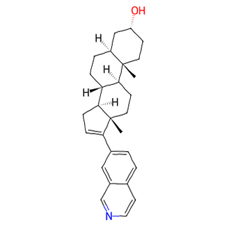 C[C@]12CC[C@@H](O)C[C@@H]1CC[C@@H]1[C@@H]2CC[C@]2(C)C(c3ccc4ccncc4c3)=CC[C@@H]12